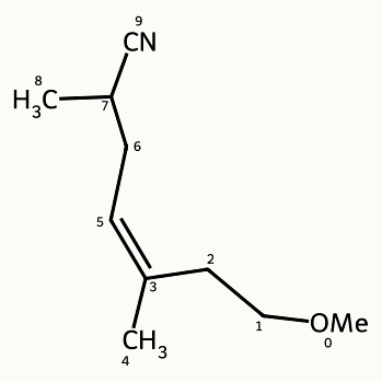 COCC/C(C)=C\CC(C)C#N